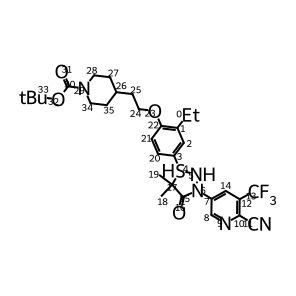 CCc1cc([SH]2NN(c3cnc(C#N)c(C(F)(F)F)c3)C(=O)C2(C)C)ccc1OCCC1CCN(C(=O)OC(C)(C)C)CC1